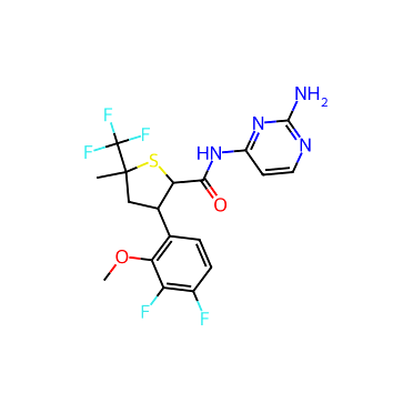 COc1c(C2CC(C)(C(F)(F)F)SC2C(=O)Nc2ccnc(N)n2)ccc(F)c1F